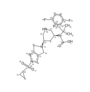 CC(C)(C)N(C(=O)O)[C@H]1C[C@@H](N2Cc3cn(S(=O)(=O)C4CC4)nc3C2)CN[C@@H]1c1cc(F)ccc1F